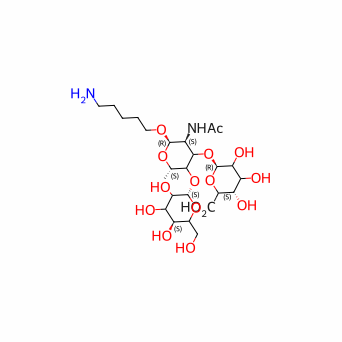 CC(=O)N[C@H]1C(O[C@@H]2OC(C(=O)O)[C@@H](O)C(O)C2O)C(O[C@@H]2OC(CO)[C@@H](O)C(O)C2O)[C@H](C)O[C@H]1OCCCCCN